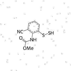 COC(=O)Nc1c(C#N)cccc1SS